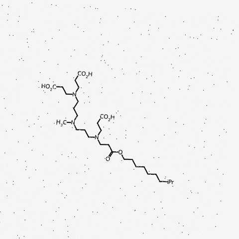 CC(C)CCCCCCCOC(=O)CCN(CCCN(C)CCCN(CCC(=O)O)CCC(=O)O)CCC(=O)O